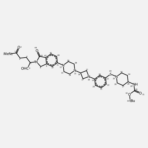 CNC(=O)CCC(C=O)N1Cc2cc(N3CCN(C4CN(c5cccc(SN6CCC(NC(=O)OC(C)(C)C)CC6)c5)C4)CC3)ccc2C1=O